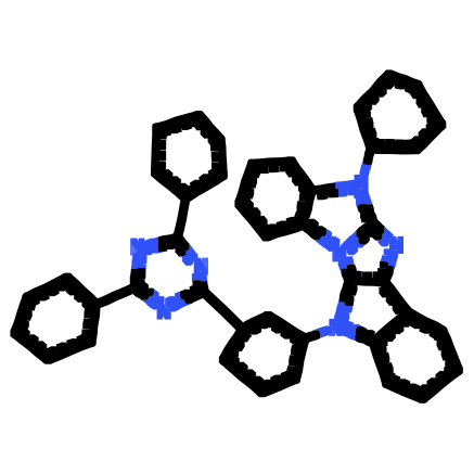 c1ccc(-c2nc(-c3ccccc3)nc(-c3cccc(-n4c5ccccc5c5nc6n(-c7ccccc7)c7ccccc7n6c54)c3)n2)cc1